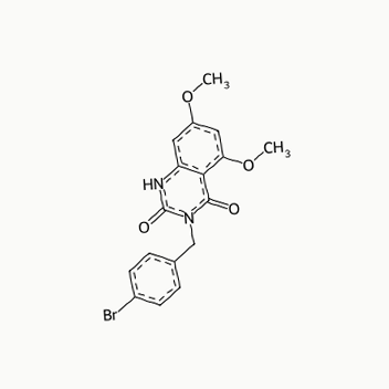 COc1cc(OC)c2c(=O)n(Cc3ccc(Br)cc3)c(=O)[nH]c2c1